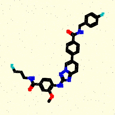 COc1cc(C(=O)NCCCF)ccc1Nc1nc2ccc(-c3ccc(C(=O)NCc4ccc(F)cc4)cc3)cn2n1